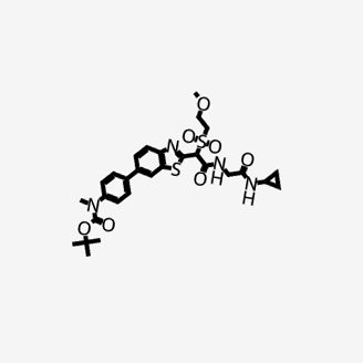 COCCS(=O)(=O)C(C(=O)NCC(=O)NC1CC1)c1nc2ccc(-c3ccc(N(C)C(=O)OC(C)(C)C)cc3)cc2s1